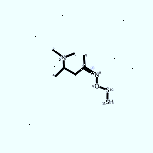 C/C(CC(C)N(C)C)=N/OSS